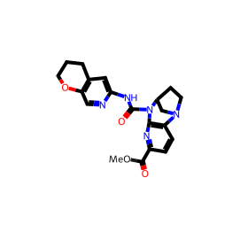 COC(=O)c1ccc2c(n1)N(C(=O)Nc1cc3c(cn1)OCCC3)C1CCN2C1